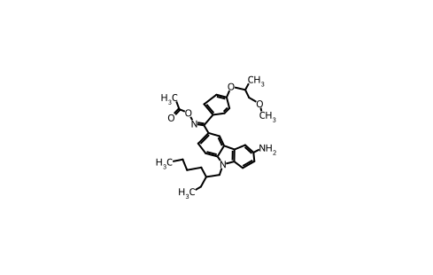 CCCCC(CC)Cn1c2ccc(N)cc2c2cc(/C(=N/OC(C)=O)c3ccc(OC(C)COC)cc3)ccc21